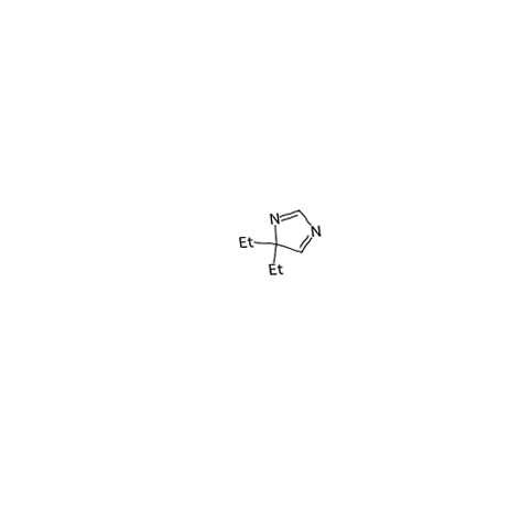 CCC1(CC)C=NC=N1